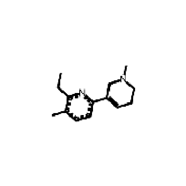 CCc1nc(C2=CCCN(C)C2)ccc1C